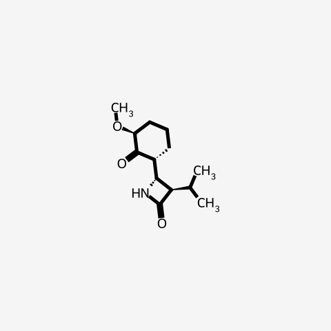 CO[C@H]1CCC[C@H]([C@H]2NC(=O)[C@@H]2C(C)C)C1=O